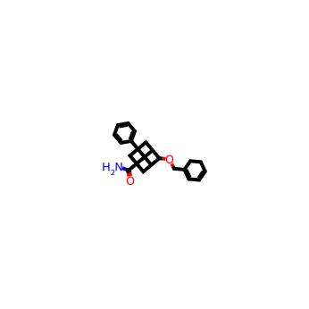 NC(=O)C12CC3C(OCC4=CC=CCC4)C4CC(c5ccccc5)(C1)C342